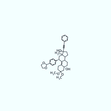 COC1(OC)CCC2=C3C(CC[C@@]2(O)C1)C1CC[C@@](O)(C#Cc2ccccc2)[C@@]1(C)C[C@@H]3c1ccc(C2OCCO2)cc1